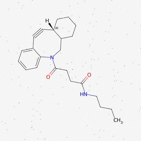 CCCCNC(=O)CCC(=O)N1CC2CCCC[C@H]2C#Cc2ccccc21